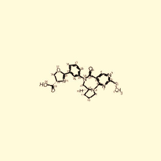 CSc1ncc2c(n1)N1CCC[C@H]1CN(c1cccc(C3=N[C@H](C(=O)O)CO3)c1)C2=O